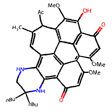 CCCCC1(CCCC)CNc2c(c3c(=O)cc(OC)c4c5c(OC)cc(=O)c6c(O)c(OC)c7c(c(c2C=C(C)C7C(C)=O)c34)c65)N1